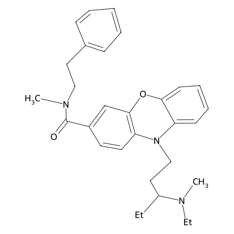 CCC(CCN1c2ccccc2Oc2cc(C(=O)N(C)CCc3ccccc3)ccc21)N(C)CC